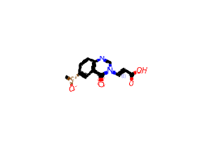 C[S+]([O-])c1ccc2ncn(/C=C/C(=O)O)c(=O)c2c1